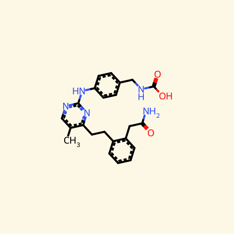 Cc1cnc(Nc2ccc(CNC(=O)O)cc2)nc1CCc1ccccc1CC(N)=O